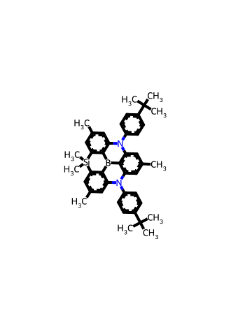 Cc1cc2c3c(c1)N(c1ccc(C(C)(C)C)cc1)c1cc(C)cc4c1B3c1c(cc(C)cc1[Si]4(C)C)N2c1ccc(C(C)(C)C)cc1